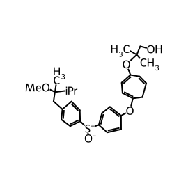 COC(C)(Cc1ccc([S+]([O-])c2ccc(OC3=CC=C(OC(C)(C)CO)C=CC3)cc2)cc1)C(C)C